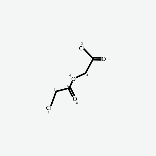 O=C(Cl)COC(=O)CCl